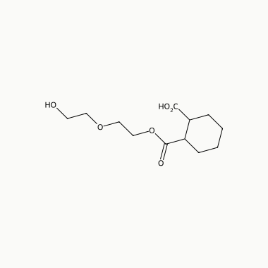 O=C(O)C1CCCCC1C(=O)OCCOCCO